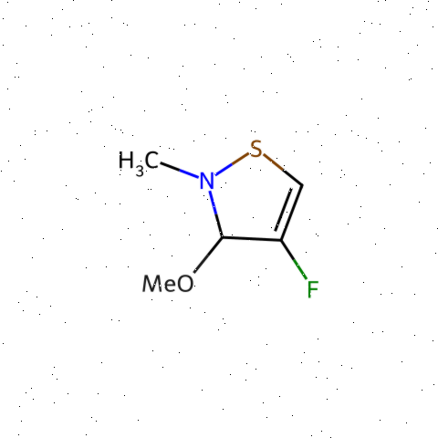 COC1C(F)=CSN1C